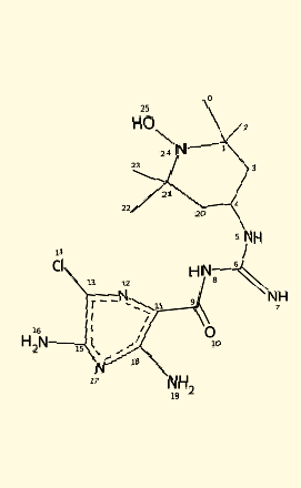 CC1(C)CC(NC(=N)NC(=O)c2nc(Cl)c(N)nc2N)CC(C)(C)N1O